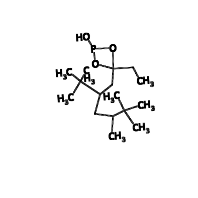 CCC1(CC(CC(C)C(C)(C)C)C(C)(C)C)OP(O)O1